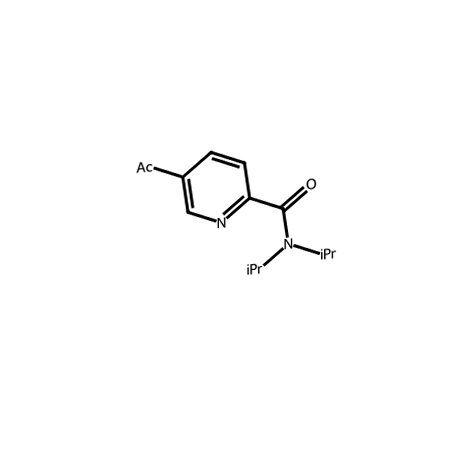 CC(=O)c1ccc(C(=O)N(C(C)C)C(C)C)nc1